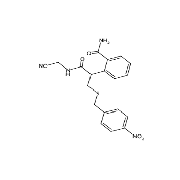 N#CCNC(=O)C(CSCc1ccc([N+](=O)[O-])cc1)c1ccccc1C(N)=O